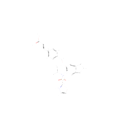 Cc1csc(S(=O)(=O)N(c2cc3c(cc2OCc2ccc(C=CC(=O)O)cc2)CCC3)C(C)C)n1